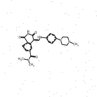 CN1CCN(c2ccc(N/C=C3\C(=O)NC(=O)c4ccc(C(=O)N(C)C)cc43)cc2)CC1